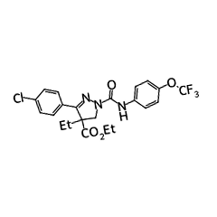 CCOC(=O)C1(CC)CN(C(=O)Nc2ccc(OC(F)(F)F)cc2)N=C1c1ccc(Cl)cc1